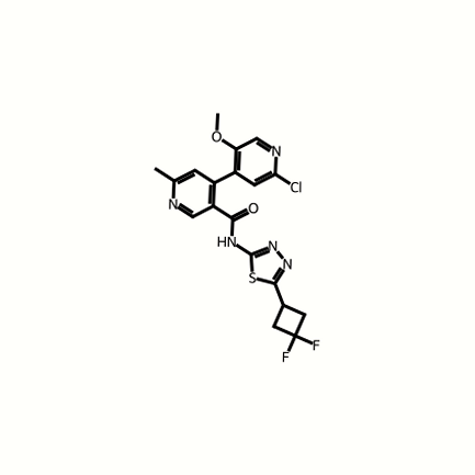 COc1cnc(Cl)cc1-c1cc(C)ncc1C(=O)Nc1nnc(C2CC(F)(F)C2)s1